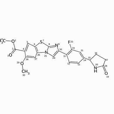 COC(=O)c1cc2sc3nc(-c4ccc(C5CCC(=O)N5)cc4F)cn3c2cc1OC